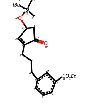 CCOC(=O)c1cccc(CCCC2=CC(O[Si](C)(C)C(C)(C)C)CC2=O)c1